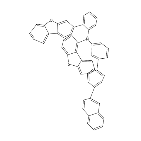 c1cc(-c2ccc(-c3ccc4ccccc4c3)cc2)cc(N(c2ccccc2-c2ccc3c(c2)oc2ccccc23)c2cccc3sc4ccccc4c23)c1